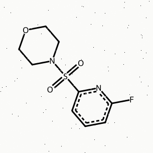 O=S(=O)(c1cccc(F)n1)N1CCOCC1